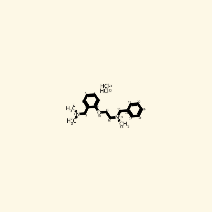 CN(C)Cc1ccccc1OCCN(C)Cc1ccccc1.Cl.Cl